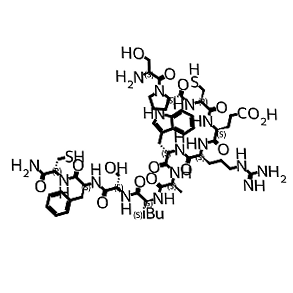 CC[C@H](C)[C@H](NC(=O)[C@H](C)NC(=O)[C@H](Cc1c[nH]c2ccccc12)NC(=O)[C@H](CCCNC(=N)N)NC(=O)[C@H](CCC(=O)O)NC(=O)[C@H](CS)NC(=O)[C@@H]1CCCN1C(=O)[C@@H](N)CO)C(=O)N[C@@H](CO)C(=O)N[C@@H](Cc1ccccc1)C(=O)N[C@@H](CS)C(N)=O